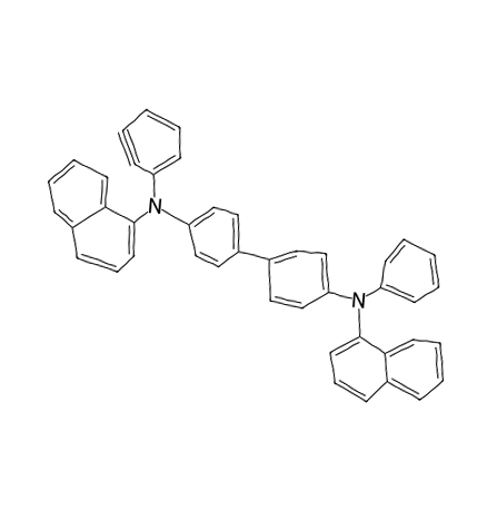 c1cccc(N(c2ccc(-c3ccc(N(c4ccccc4)c4cccc5ccccc45)cc3)cc2)c2cccc3ccccc23)c#1